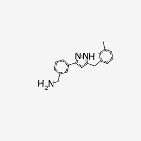 Cc1cccc(Cc2cc(-c3cccc(CN)c3)n[nH]2)c1